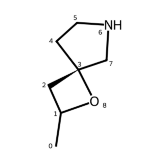 CC1C[C@]2(CCNC2)O1